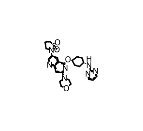 O=S1(=O)CCCN1c1cnc2cc(N3CCOCC3)nc(O[C@H]3CC[C@@H](Nc4ncccn4)CC3)c2c1